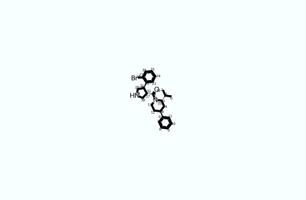 CC(C)[C@@H]1C[C@@H](c2ccccc2)CCN1C(=O)[C@@H]1CNC[C@H]1c1ccccc1Br